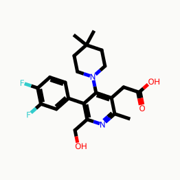 Cc1nc(CO)c(-c2ccc(F)c(F)c2)c(N2CCC(C)(C)CC2)c1CC(=O)O